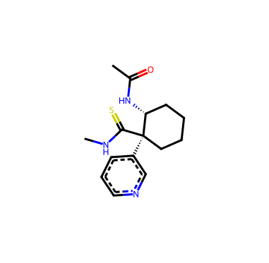 CNC(=S)[C@]1(c2cccnc2)CCCC[C@H]1NC(C)=O